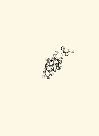 CCOC(=O)C1CCN(c2ncnc(N(C)c3ccccc3F)c2[N+](=O)[O-])CC1